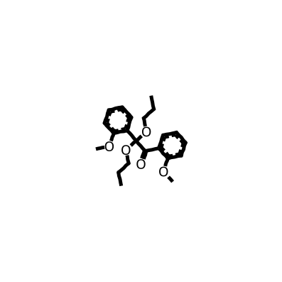 CCCOC(OCCC)(C(=O)c1ccccc1OC)c1ccccc1OC